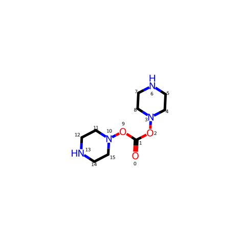 O=C(ON1CCNCC1)ON1CCNCC1